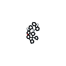 c1ccc(C2(c3ccc(N(c4cccc5oc6ccccc6c45)c4cccc5oc6ccccc6c45)cc3)c3ccccc3-c3ccccc32)cc1